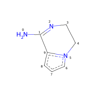 NC1=NCCn2cccc21